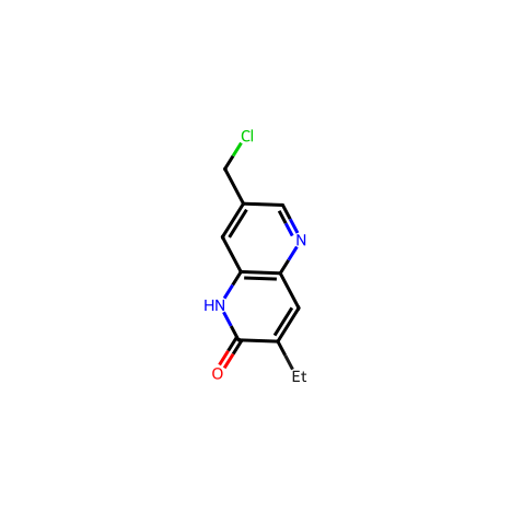 CCc1cc2ncc(CCl)cc2[nH]c1=O